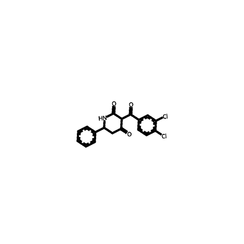 O=C1CC(c2ccccc2)NC(=O)C1C(=O)c1ccc(Cl)c(Cl)c1